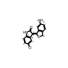 Nc1ccc2c(c1)/C(=C1\C(=O)Nc3ccc(Cl)cc31)OC2